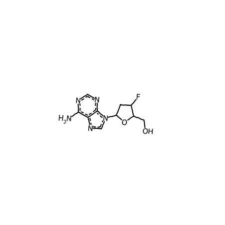 Nc1ncnc2c1ncn2C1CC(F)C(CO)O1